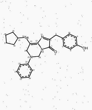 O=C1C(Cc2ccc(O)cc2)=NC2=C([Se]C3CCCC3)CN(c3ccccc3)CN12